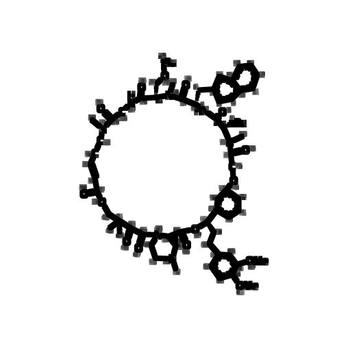 CCCC[C@H]1C(=O)N[C@@H](Cc2ccc3ccccc3c2)C(=O)N(C)[C@@H](COC(C)(C)C)C(=O)NCC(=O)N(C)CC/C=C/C(=O)OCC(C)(C)C(=O)C(=O)N2CCN(C)C[C@H]2C(=O)O[C@H](CCc2ccc(OC)c(OC)c2)c2cccc(c2)OCC(=O)N1C